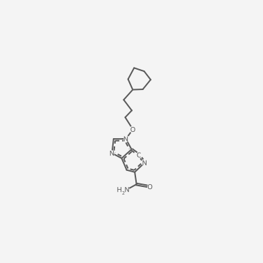 NC(=O)c1cc2ncn(OCCCC3CCCCC3)c2cn1